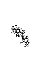 CC1Cc2ccsc2C(C)N1CCNC(=O)c1ccc(C(F)(F)F)cc1